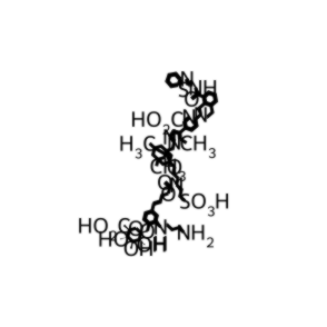 Cc1c(-c2ccc(N3CCc4cccc(C(=O)Nc5nc6ccccc6s5)c4C3)nc2C(=O)O)cnn1CC12CC3(C)CC(C)(C1)CC(OCCN(CCS(=O)(=O)O)C(=O)OC/C=C/c1ccc(O[C@@H]4O[C@H](C(=O)O)[C@@H](O)[C@H](O)[C@H]4O)c(NCCCN)c1)(C3)C2